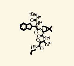 C=CCNC(=O)C(=O)C(CCC)NC(=O)[C@@H]1C2C(CN1C(=O)[C@@H](NC(=O)N(C)C(C)(C)C)C1Cc3ccccc3C1)C2(C)C